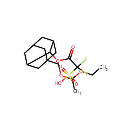 CCOC(C)OCC12CC3CC(C1)C(OC(=O)C(F)(F)S(=O)(=O)O)C(C3)C2